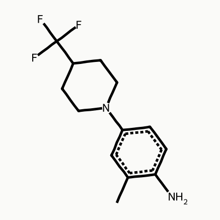 Cc1cc(N2CCC(C(F)(F)F)CC2)ccc1N